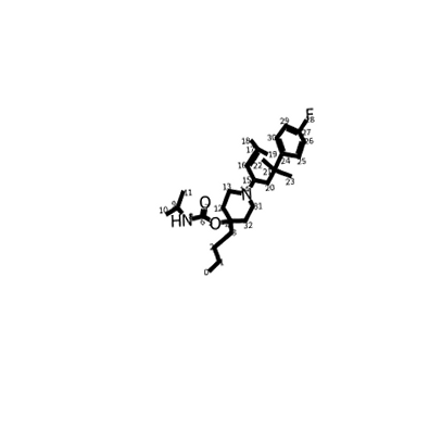 CCCCC1(OC(=O)NC(C)C)CCN(C(C=C(C)C)CC(C)(C)c2ccc(F)cc2)CC1